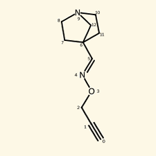 C#CCON=CC12CCN(CC1)C2